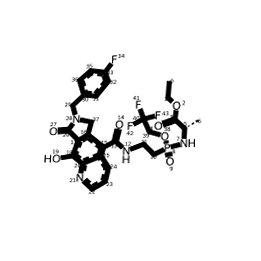 CCOC(=O)[C@H](C)NP(=O)(CCNC(=O)c1c2c(c(O)c3ncccc13)C(=O)N(Cc1ccc(F)cc1)C2)OCC(F)(F)F